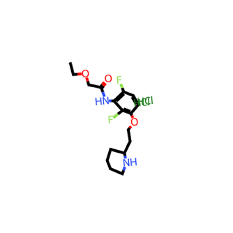 CCOCC(=O)Nc1c(F)ccc(OCCC2CCCCN2)c1F.Cl.Cl